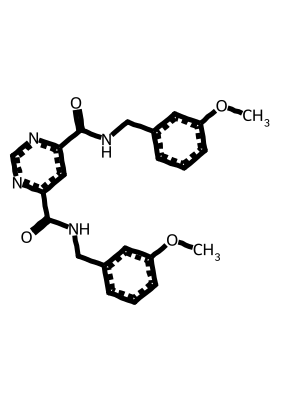 COc1cccc(CNC(=O)c2cc(C(=O)NCc3cccc(OC)c3)ncn2)c1